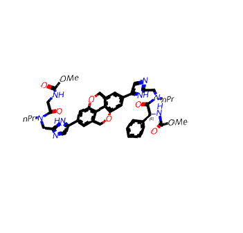 CCCN(Cc1ncc(-c2cc3c4c(c2)OCc2cc(-c5cnc(CN(CCC)C(=O)[C@H](NC(=O)OC)c6ccccc6)[nH]5)cc(c2-4)OC3)[nH]1)C(=O)CNC(=O)OC